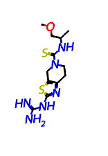 COCC(C)NC(=S)N1CCc2nc(NC(=N)N)sc2C1